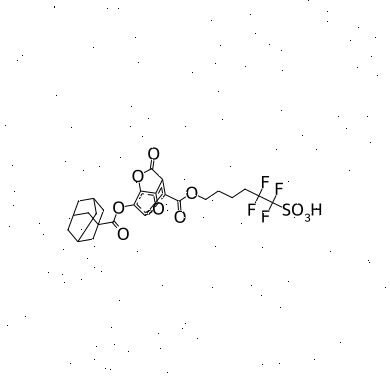 O=C1Oc2c(OC(=O)C34CC5CC(CC(C5)C3)C4)c3oc2c1c3C(=O)OCCCCC(F)(F)C(F)(F)S(=O)(=O)O